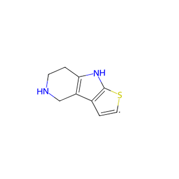 [c]1cc2c3c([nH]c2s1)CCNC3